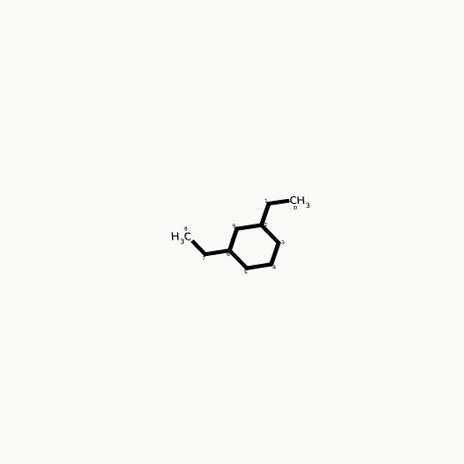 CCC1CCCC(CC)C1